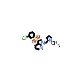 CN1CCCC1CN1CC(S(=O)(=O)c2cccc(Cl)c2)c2cccnc21